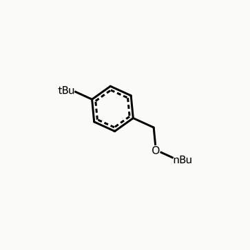 CCCCOCc1ccc(C(C)(C)C)cc1